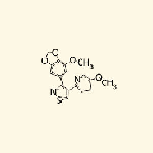 COc1ccc(-c2csnc2-c2cc(OC)c3c(c2)OCO3)nc1